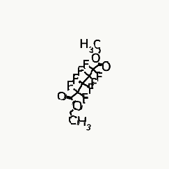 CCOC(=O)C(F)(F)C(F)(F)C(F)(F)C(F)(F)C(=O)OCC